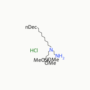 CCCCCCCCCCCCCCCCCCCN(CCN)CCC[Si](OC)(OC)OC.Cl